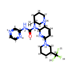 O=C(Nc1cnccn1)N1C2N=C(N3CCCC(C(F)(F)F)C3)C=CC2N2CCC[C@H]1C2